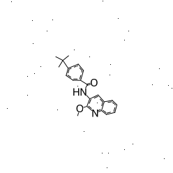 COc1nc2ccccc2cc1NC(=O)c1ccc(C(C)(C)C)cc1